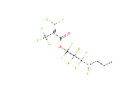 CCCC(F)C(F)(F)C(F)(F)C(F)(F)OC(=O)C(=C(F)F)C(F)(F)F